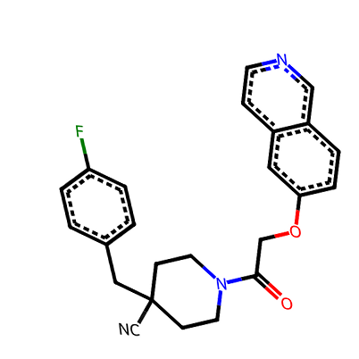 N#CC1(Cc2ccc(F)cc2)CCN(C(=O)COc2ccc3cnccc3c2)CC1